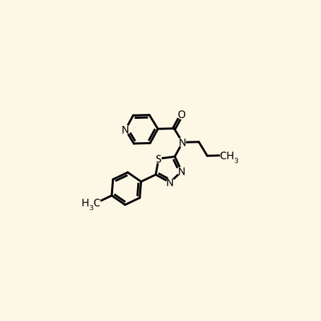 CCCN(C(=O)c1ccncc1)c1nnc(-c2ccc(C)cc2)s1